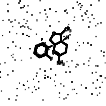 NC1=N[C@@]2(c3ccccc3F)COC(C(F)(F)F)[C@H]2CC1